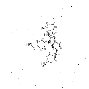 N[C@H]1CC[C@H](Nc2ncc3nc(Nc4c(F)cccc4F)n([C@H]4CC[C@@H](CO)CC4)c3n2)CC1